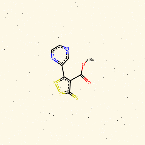 CCCCOC(=O)c1c(-c2cnccn2)ssc1=S